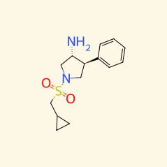 N[C@H]1CN(S(=O)(=O)CC2CC2)C[C@@H]1c1ccccc1